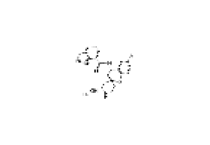 Cl.Cl.O=C(N[C@H]1CC2(CCNCC2)Oc2ccc(Br)cc21)c1cccc2cn[nH]c12